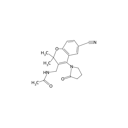 CC(=O)NCC1=C(N2CCCC2=O)c2cc(C#N)ccc2OC1(C)C